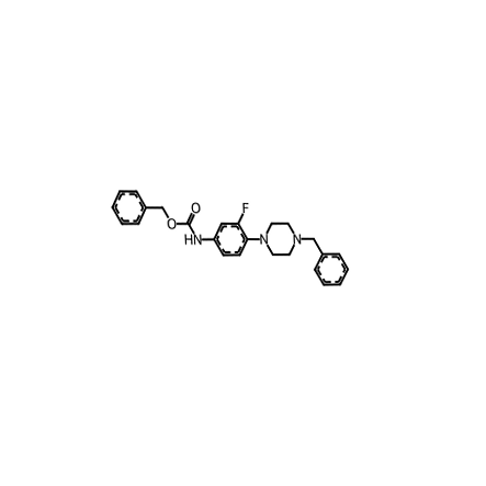 O=C(Nc1ccc(N2CCN(Cc3ccccc3)CC2)c(F)c1)OCc1ccccc1